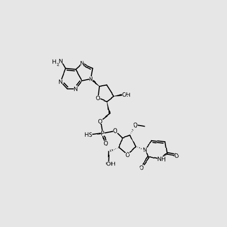 CO[C@H]1C(OP(=O)(S)OC[C@H]2O[C@@H](n3cnc4c(N)ncnc43)C[C@H]2O)[C@@H](CO)O[C@H]1n1ccc(=O)[nH]c1=O